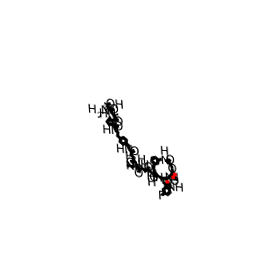 CNC[C@H](NC(=O)CCC(=O)NCc1ccc(CCNC(=O)C2CCCN2C(=O)[C@H](C)NC(=O)[C@@H](N)[C@@H](C)O)cc1)C(=O)NCC(=O)N[C@H]1Cc2cccc(c2)CNC(=O)COC2CCN(C(=O)[C@H](Cc3c[nH]c4ccc(F)cc34)NC1=O)C2N=O